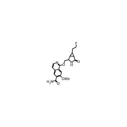 COc1cc2c(OCC3NC(=O)C4C(CCF)C34)nccc2cc1C(N)=O